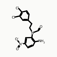 Nc1ccc([N+](=O)[O-])cc1N(C=O)CCc1ccc(Cl)c(Cl)c1